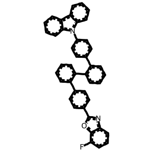 Fc1cccc2nc(-c3ccc(-c4ccccc4-c4ccccc4-c4ccc(-n5c6ccccc6c6ccccc65)cc4)cc3)oc12